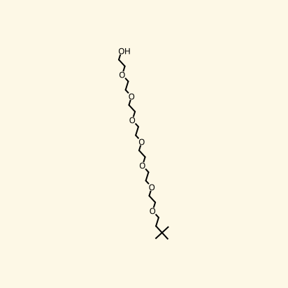 CC(C)(C)CCOCCOCCOCCOCCOCCOCCOCCO